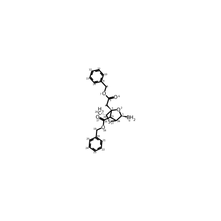 B[C@@H]1O[C@]2(CC(=O)OCc3ccccc3)C(C(=O)OCc3ccccc3)C1S[C@@H]2C